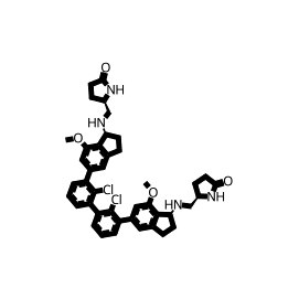 COc1cc(-c2cccc(-c3cccc(-c4cc5c(c(OC)c4)[C@H](NC[C@H]4CCC(=O)N4)CC5)c3Cl)c2Cl)cc2c1[C@H](NC[C@H]1CCC(=O)N1)CC2